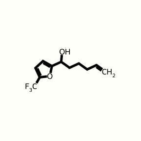 C=CCCCC(O)c1ccc(C(F)(F)F)o1